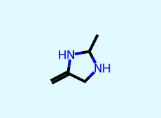 C=C1CNC(C)N1